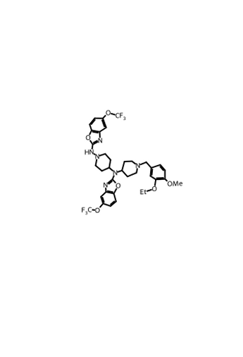 CCOc1cc(CN2CCC(N(c3nc4cc(OC(F)(F)F)ccc4o3)C3CCN(Nc4nc5cc(OC(F)(F)F)ccc5o4)CC3)CC2)ccc1OC